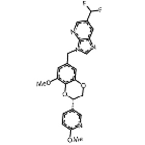 COc1ccc([C@H]2COc3cc(Cn4cnc5cc(C(F)F)cnc54)cc(OC)c3O2)cn1